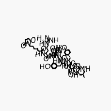 CNC(=O)C(CC(C)C)NC(=O)C(CO)NC(=O)C(Cc1ccc(O)cc1)NC(=O)C(Cc1ccc(O)cc1)NC(=O)C(CO)NC(=O)C(CO)NC(=O)C(CCCNC(=N)N)NC(=O)CCCCCN1C(=O)C=CC1=O